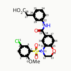 COc1ccc(Cl)cc1S(=O)(=O)N1CCOc2ccc(C(=O)Nc3cccc(CC(=O)O)c3)cc21